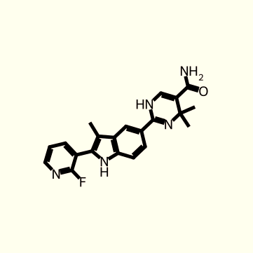 Cc1c(-c2cccnc2F)[nH]c2ccc(C3=NC(C)(C)C(C(N)=O)=CN3)cc12